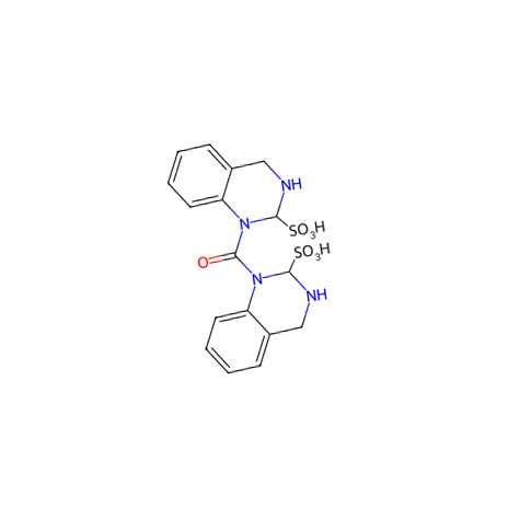 O=C(N1c2ccccc2CNC1S(=O)(=O)O)N1c2ccccc2CNC1S(=O)(=O)O